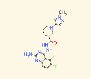 Cn1cc(N2CCCC(C(=O)NNc3nc(N)nc4ccc(F)c(F)c34)C2)cn1